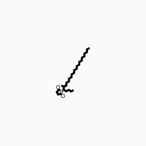 CCCCCCCCCCCCCCCCCC/C=C(\C)C(CCCC)N1C(=O)CCC1=O